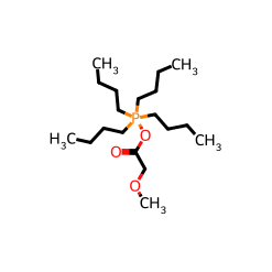 CCCCP(CCCC)(CCCC)(CCCC)OC(=O)COC